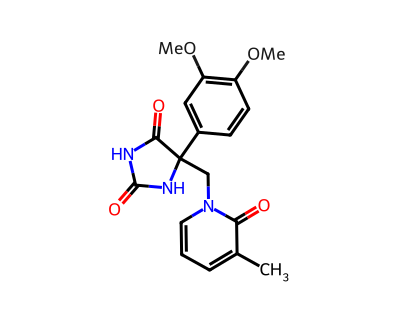 COc1ccc(C2(Cn3cccc(C)c3=O)NC(=O)NC2=O)cc1OC